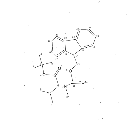 CC(C)C(C(=O)OC(C)(C)C)N(C)C(=O)OCC1c2ccccc2-c2ccccc21